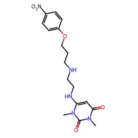 Cn1c(NCCNCCCOc2ccc([N+](=O)[O-])cc2)cc(=O)n(C)c1=O